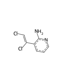 Nc1ncccc1C(Cl)=CCl